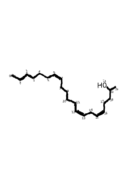 CCCCCC/C=C\CCCC/C=C\C/C=C\CCC(C)O